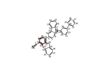 N#Cc1ccc(-c2ccc3c(c2)c2ccccc2n3-c2cccc(-c3ccccc3)c2)c2c1C1c3ccccc3C2c2ccccc21